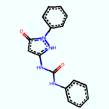 O=C(Nc1ccccc1)Nc1cc(=O)n(-c2ccccc2)[nH]1